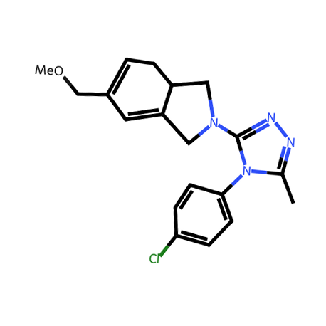 COCC1=CCC2CN(c3nnc(C)n3-c3ccc(Cl)cc3)CC2=C1